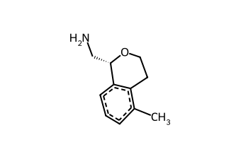 Cc1cccc2c1CCO[C@H]2CN